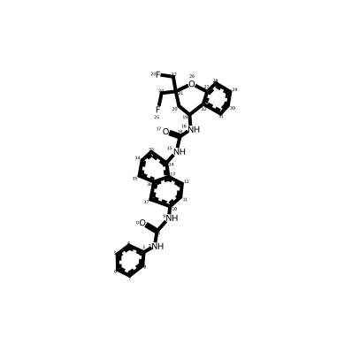 O=C(Nc1ccccc1)Nc1ccc2c(NC(=O)NC3CC(CF)(CF)Oc4ccccc43)cccc2c1